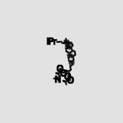 C=C(C)C(=O)OCC(CCC[C@H]1CC[C@@]2(C)C(CCC3C2CC[C@@]2(C)C3CC[C@@H]2[C@H](C)CCCC(C)C)C1)COC(=O)C(=C)CN(C)C